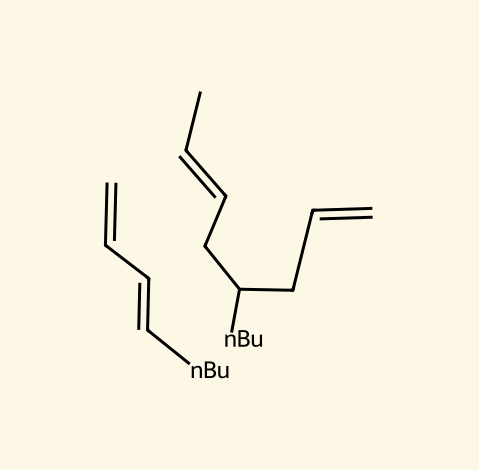 C=CC=CCCCC.C=CCC(CC=CC)CCCC